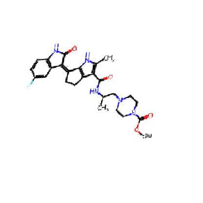 Cc1[nH]c2c(c1C(=O)NC(C)CN1CCN(C(=O)OC(C)(C)C)CC1)CC/C2=C1/C(=O)Nc2ccc(F)cc21